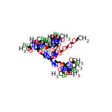 C=CCOCCOCCOCCOCCOCC(Cn1cc(COCC(CNC(=O)C(C)(C)Br)(CNC(=O)C(C)(C)Br)CNC(=O)C(C)(C)Br)nn1)(Cn1cc(COCC(CNC(=O)C(C)(C)Br)(CNC(=O)C(C)(C)Br)CNC(=O)C(C)(C)Br)nn1)Cn1cc(COCC(CNC(=O)C(C)(C)Br)(CNC(=O)C(C)(C)Br)CNC(=O)C(C)(C)Br)nn1